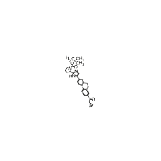 CC(C)(C)OC(=O)N1CCCC1c1ncc(-c2ccc3c(c2)CCc2cc(C(=O)CBr)ccc2-3)[nH]1